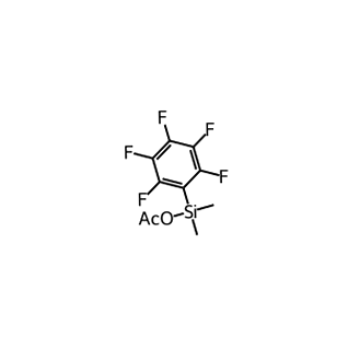 CC(=O)O[Si](C)(C)c1c(F)c(F)c(F)c(F)c1F